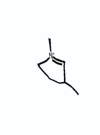 CC1C=[N+](C)CC1